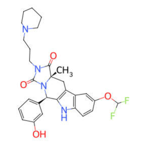 C[C@@]12Cc3c([nH]c4ccc(OC(F)F)cc34)[C@@H](c3cccc(O)c3)N1C(=O)N(CCCN1CCCCC1)C2=O